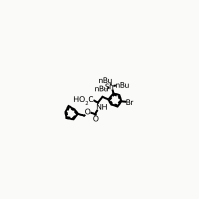 CCC[CH2][Sn]([CH2]CCC)([CH2]CCC)[c]1cc(Br)ccc1CC(NC(=O)OCc1ccccc1)C(=O)O